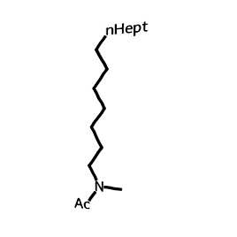 [CH2]C(=O)N(C)CCCCCCCCCCCCCC